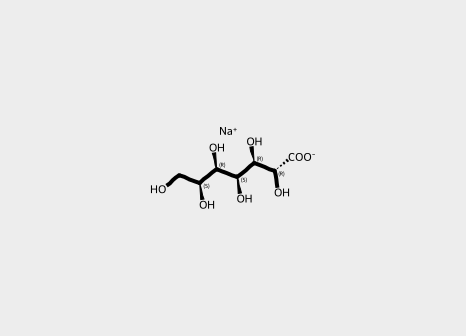 O=C([O-])[C@H](O)[C@H](O)[C@@H](O)[C@H](O)[C@@H](O)CO.[Na+]